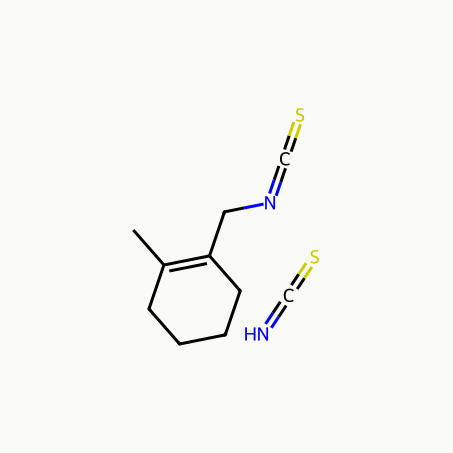 CC1=C(CN=C=S)CCCC1.N=C=S